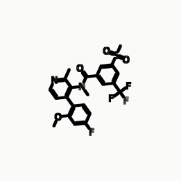 COc1cc(F)ccc1-c1ccnc(C)c1N(C)C(=O)c1cc(C(F)(F)F)cc(S(C)(=O)=O)c1